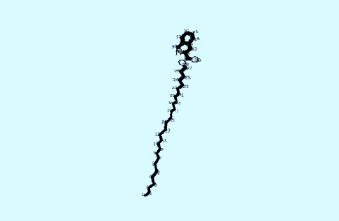 CCCCCCCCCCCCCCCCCCCCCCCCCCCCOC(=O)c1cc2ccccc2cn1